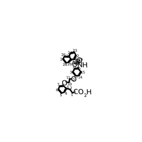 O=C(O)CCc1ccccc1OCCOc1ccc(NS(=O)(=O)c2cccc3ccccc23)cc1